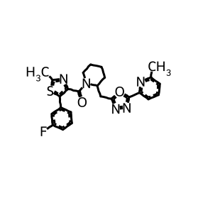 Cc1cccc(-c2nnc(CC3CCCCN3C(=O)c3nc(C)sc3-c3cccc(F)c3)o2)n1